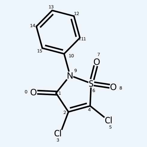 O=C1C(Cl)=C(Cl)S(=O)(=O)N1c1[c]cccc1